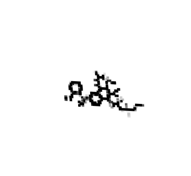 CCCC(C)(C)CC(=O)Oc1c(OC)c(OC)c(OC(C)=O)c2cc([S+]([O-])c3ccccc3Cl)ccc12